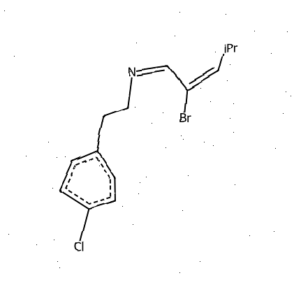 CC(C)/C=C(Br)\C=N/CCc1ccc(Cl)cc1